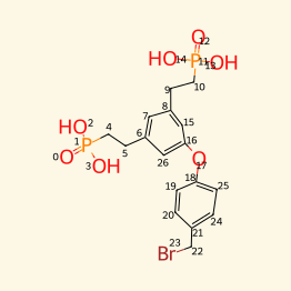 O=P(O)(O)CCc1cc(CCP(=O)(O)O)cc(Oc2ccc(CBr)cc2)c1